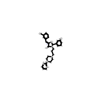 O=C1/C(=C/c2cccc(Cl)c2)SC(c2cccc(Cl)c2)N1CCCN1CCN(c2ncccn2)CC1